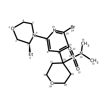 CC[C@H]1COCCN1c1cc(C2(S(=O)(=O)N(C)C)CCOCC2)cc(Br)n1